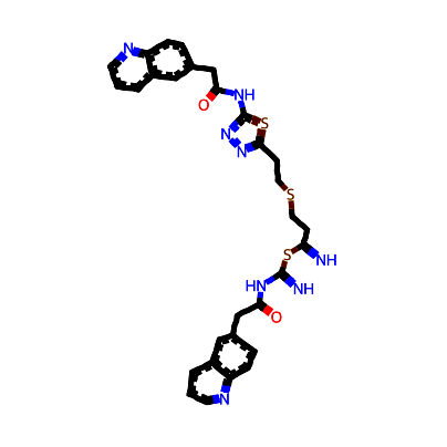 N=C(CCSCCc1nnc(NC(=O)Cc2ccc3ncccc3c2)s1)SC(=N)NC(=O)Cc1ccc2ncccc2c1